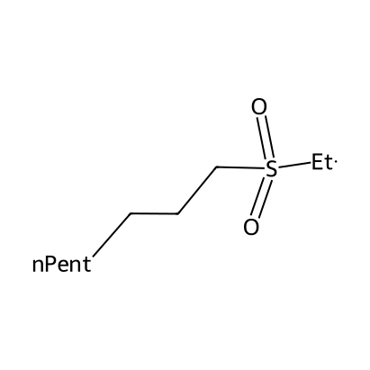 C[CH]S(=O)(=O)CCCCCCCC